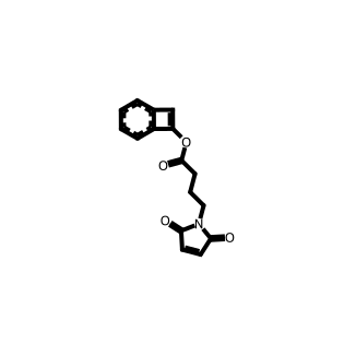 O=C(CCCN1C(=O)C=CC1=O)OC1=Cc2ccccc21